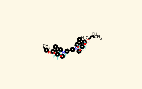 C=C/C(C)=C\C=C(/C)Oc1ccc(C2(c3c(F)c(F)c(F)c(F)c3F)c3ccccc3-c3ccc(N(c4ccc(-c5ccc(N(c6ccc7c(c6)C(c6ccc(Oc8ccc(C=C)cc8)cc6)(c6c(F)c(F)c(F)c(F)c6F)c6ccccc6-7)c6ccccc6F)cc5)cc4)c4ccccc4F)cc32)cc1